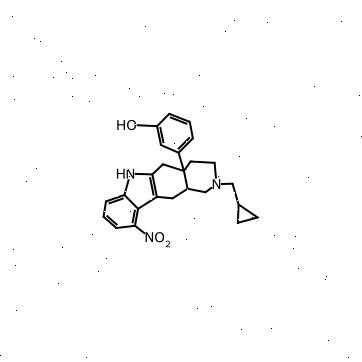 O=[N+]([O-])c1cccc2[nH]c3c(c12)CC1CN(CC2CC2)CCC1(c1cccc(O)c1)C3